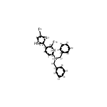 Fc1c[nH]c(-c2ccc(N(Cc3ccccc3)Cc3ccccc3)nc2F)n1